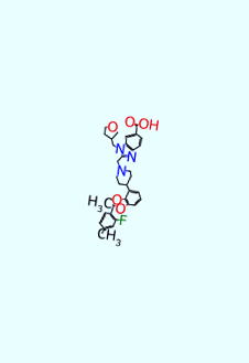 Cc1ccc(C2(C)Oc3cccc(C4CCN(Cc5nc6ccc(C(=O)O)cc6n5CC5CCOC5)CC4)c3O2)c(F)c1